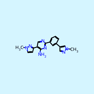 Cn1cc(-c2cccc(-c3ncc(-c4ccn(C)n4)c(N)n3)c2)cn1